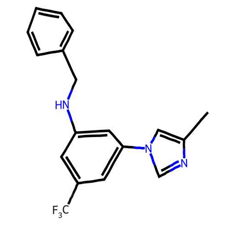 Cc1cn(-c2cc(NCc3ccccc3)cc(C(F)(F)F)c2)cn1